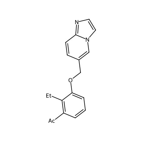 CCc1c(OCc2ccc3nccn3c2)cccc1C(C)=O